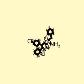 NN(C(=O)Cc1ccccc1)c1cc(-c2ccc(Cl)cc2)c(-c2ccccc2Cl)nn1